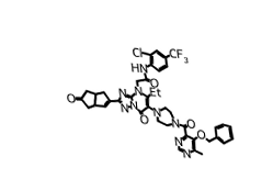 CCc1c(N2CCN(C(=O)c3ncnc(C)c3OCc3ccccc3)CC2)c(=O)n2nc(C3=CC4CC(=O)CC4C3)nc2n1CC(=O)Nc1ccc(C(F)(F)F)cc1Cl